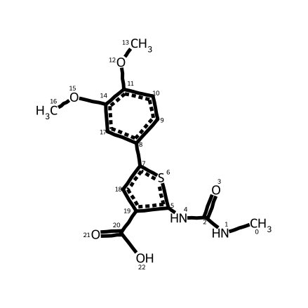 CNC(=O)Nc1sc(-c2ccc(OC)c(OC)c2)cc1C(=O)O